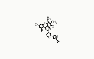 Cc1nc2c(-c3c(F)cc(Cl)cc3F)cc([C@@H]3CCO[C@@H](c4cnn(C5CC5)c4)C3)nn2c(=O)c1C